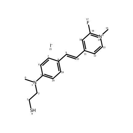 CN(CCS)c1ccc(/C=C/c2cc[n+](C)c(F)c2)cc1.[I-]